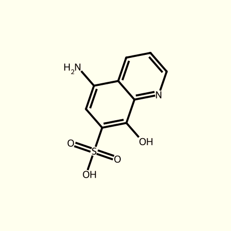 Nc1cc(S(=O)(=O)O)c(O)c2ncccc12